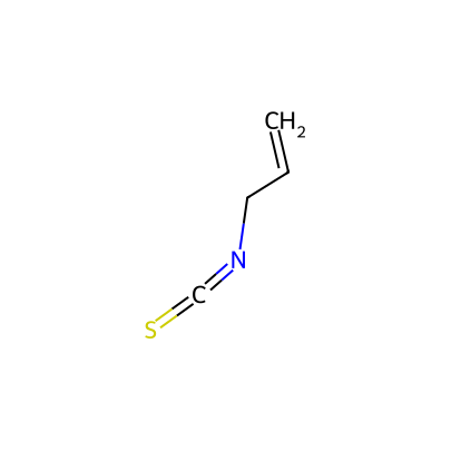 C=CCN=C=S